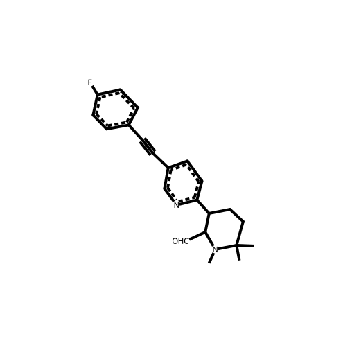 CN1C(C=O)C(c2ccc(C#Cc3ccc(F)cc3)cn2)CCC1(C)C